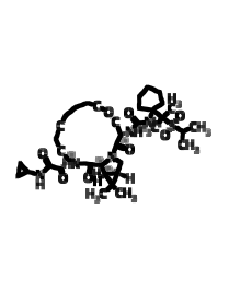 CC(C)S(=O)(=O)C(C)(C)C1(NC(=O)N[C@H]2COCCCCCCC[C@@H](C(=O)C(=O)NC3CC3)NC(=O)[C@@H]3[C@@H]4[C@H](CN3C2=O)C4(C)C)CCCCC1